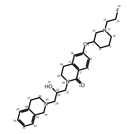 O=C1c2ccc(OC3CCCN(CCF)C3)cc2CCN1C[C@H](O)CN1CCc2ccccc2C1